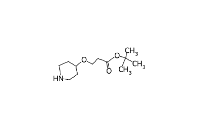 CC(C)(C)OC(=O)CCOC1CCNCC1